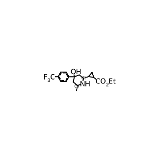 CCOC(=O)C1CC1[C@@H]1CC(O)(c2ccc(C(F)(F)F)cc2)C[C@H](C)N1